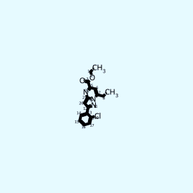 CCOC(=O)c1cc(CC)n2nc(-c3ccccc3Cl)cc2n1